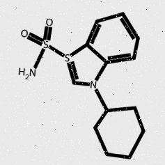 NS(=O)(=O)S1=CN(C2CCCCC2)c2ccccc21